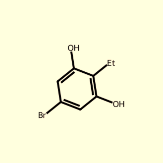 CCc1c(O)cc(Br)cc1O